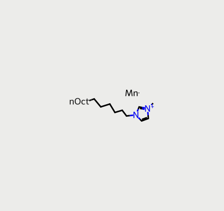 CCCCCCCCCCCCCCn1cc[n+](C)c1.[Mn]